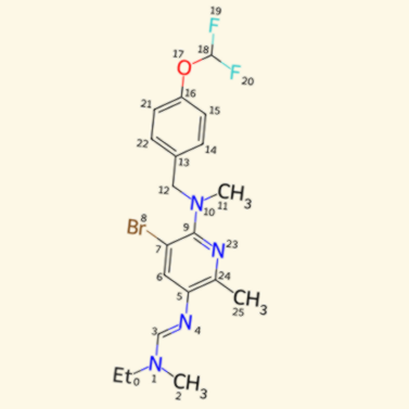 CCN(C)/C=N/c1cc(Br)c(N(C)Cc2ccc(OC(F)F)cc2)nc1C